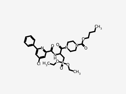 CCCCOC(=O)N1CCN(C(=O)C(CP(=O)(OCC)OCC)NC(=O)c2cc(Cl)cc(-c3ccccc3)n2)CC1